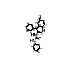 O=C(Nc1ccc(F)cc1)Nc1cnc2ccc(Cl)cc2c1-c1ccccc1